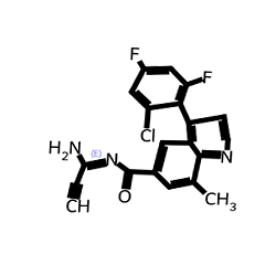 C#C/C(N)=N\C(=O)c1cc(C)c2nccc(-c3c(F)cc(F)cc3Cl)c2c1